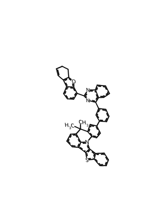 CC1(C)c2cc(-c3cccc(-c4nc(-c5cccc6c7c(oc56)CCC=C7)nc5ccccc45)c3)ccc2-n2c3c1cccc3c1sc3ccccc3c12